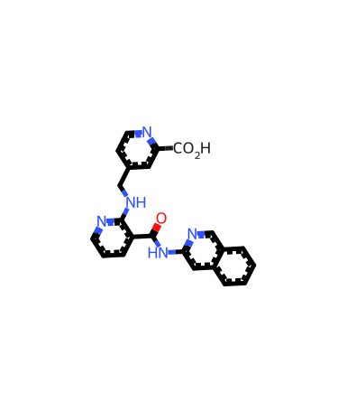 O=C(O)c1cc(CNc2ncccc2C(=O)Nc2cc3ccccc3cn2)ccn1